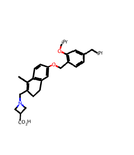 CC1=C(CN2CC(C(=O)O)C2)CCc2cc(OCc3ccc(CC(C)C)cc3OC(C)C)ccc21